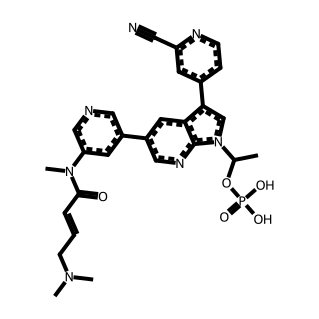 CC(OP(=O)(O)O)n1cc(-c2ccnc(C#N)c2)c2cc(-c3cncc(N(C)C(=O)C=CCN(C)C)c3)cnc21